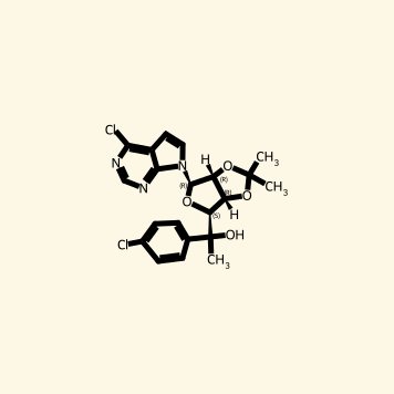 CC1(C)O[C@@H]2[C@H](O1)[C@@H](C(C)(O)c1ccc(Cl)cc1)O[C@H]2n1ccc2c(Cl)ncnc21